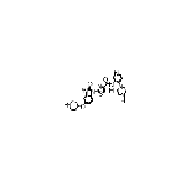 CN1CCC(Oc2ccc3c(c2)n(C)c(=O)n3-c2nc(C(=O)Nc3cnccc3N3CCNCC3)cs2)CC1